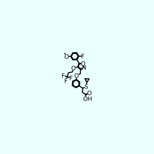 COc1ccc(F)c(-c2onc(COc3cccc(C(CC(=O)O)SC4CC4)c3)c2OCCC(F)(F)F)c1